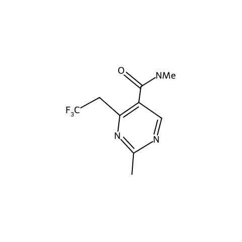 CNC(=O)c1cnc(C)nc1CC(F)(F)F